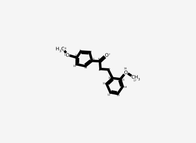 COc1ccc(C(=O)CCc2ccccc2OC)cc1